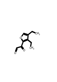 CCc1coc(C(=O)C=O)c1CC